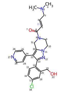 CN(C)C/C=C/C(=O)N1CCn2nc(-c3ccc(Cl)cc3CO)c(-c3ccncc3)c2C1